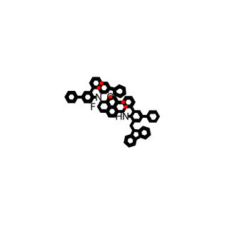 Fc1cc(-c2ccccc2)cc(-c2ccccc2)c1N(c1cccc2c1oc1ccccc12)C1CC=c2ccc3c4c(ccc1c24)=CCC3NC1C(CC2c3ccccc3-c3ccccc32)=CC(C2=CCCC=C2)=CC1c1ccccc1